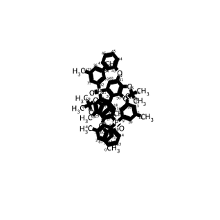 Cc1cc(C)cc(P(=O)(c2cc(C)cc(C)c2)c2cc(-c3c(P(=O)(c4cc(C)cc(C)c4)c4cc(C)cc(C)c4)cc(Oc4ccccc4)c4c3OC(C)(C)O4)c3c(c2Oc2ccccc2)OC(C)(C)O3)c1